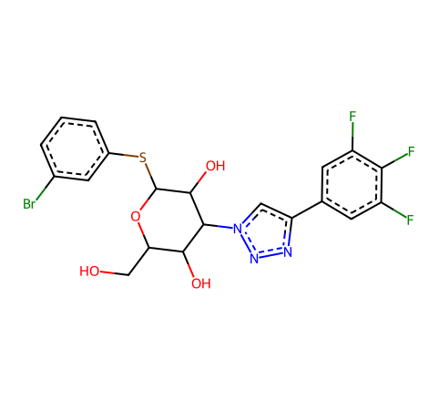 OCC1OC(Sc2cccc(Br)c2)C(O)C(n2cc(-c3cc(F)c(F)c(F)c3)nn2)C1O